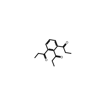 CCC(=O)c1[c]ccc(C(=O)CC)c1C(=O)CC